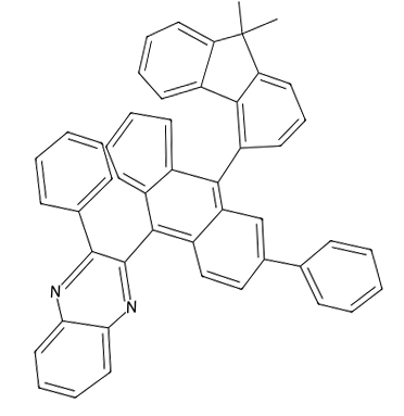 CC1(C)c2ccccc2-c2c(-c3c4ccccc4c(-c4nc5ccccc5nc4-c4ccccc4)c4ccc(-c5ccccc5)cc34)cccc21